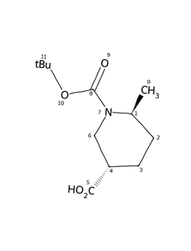 C[C@H]1CC[C@H](C(=O)O)CN1C(=O)OC(C)(C)C